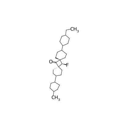 CCC1CCC(C2CC[C@]3(CC2)C(=O)[C@@]2(CCC(C4CCC(C)CC4)CC2)[C@@H]3F)CC1